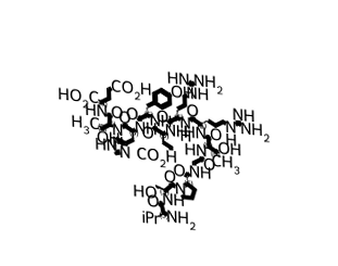 CC(C)[C@H](N)C(=O)N[C@@H](CO)C(=O)N1CCC[C@H]1C(=O)NCC(=O)N[C@H](C(=O)N[C@@H](CCCNC(=N)N)C(=O)N[C@@H](CCCNC(=N)N)C(=O)N[C@@H](CCC(=O)O)C(=O)N[C@@H](Cc1ccc(O)cc1)C(=O)N[C@@H](Cc1c[nH]cn1)C(=O)N[C@H](C(=O)N[C@@H](CCC(=O)O)C(=O)O)[C@@H](C)O)[C@@H](C)O